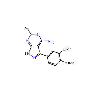 COc1ccc(-c2n[nH]c3nc(C(C)(C)C)nc(N)c23)cc1OC